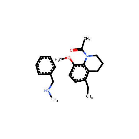 CCc1ccc(OC)c2c1CCCN2C(C)=O.CNCc1ccccc1